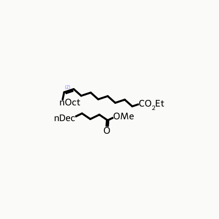 CCCCCCCC/C=C\CCCCCCCC(=O)OCC.CCCCCCCCCCCCCC(=O)OC